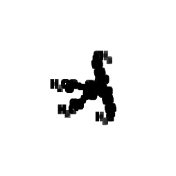 C=CC(=O)OCCCCCC(O)C(C(=O)OCCCCOC(=O)C=C)C1SC2=C(OC(=O)C3CCC(C4CCC(CC)CC4)CC3)CCC(OC(=O)C3CCC(C4CCC(CC)CC4)CC3)=C2S1